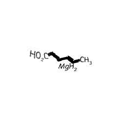 CC=CC=CC(=O)O.[MgH2]